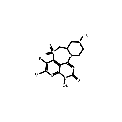 Cc1nc2c3c(nc(=O)n2C)N2CCN(C)CC2CS(=O)(=O)c3c1F